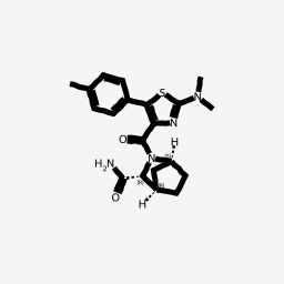 Cc1ccc(-c2sc(N(C)C)nc2C(=O)N2[C@H]3CC[C@H](C3)[C@@H]2C(N)=O)cc1